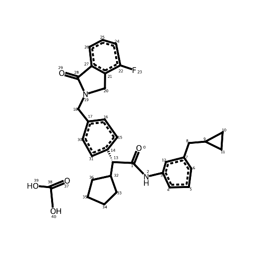 O=C(Nc1cccc(CC2CC2)c1)[C@@H](c1ccc(CN2Cc3c(F)cccc3C2=O)cc1)C1CCCC1.O=C(O)O